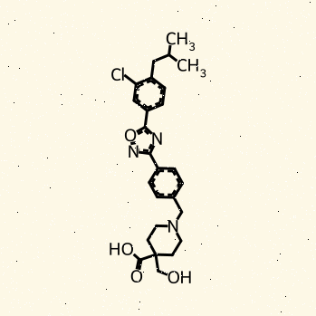 CC(C)Cc1ccc(-c2nc(-c3ccc(CN4CCC(CO)(C(=O)O)CC4)cc3)no2)cc1Cl